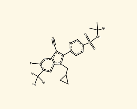 [2H]C(C)(C)NS(=O)(=O)c1ccc(-c2c(C#N)c3cc(F)c(C([2H])([2H])[2H])cc3n2CC2CC2)nc1